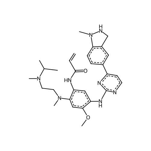 C=CC(=O)Nc1cc(Nc2nccc(-c3ccc4c(c3)CNN4C)n2)c(OC)cc1N(C)CCN(C)C(C)C